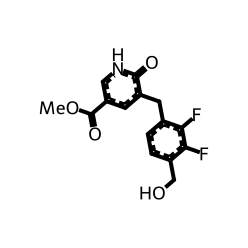 COC(=O)c1c[nH]c(=O)c(Cc2ccc(CO)c(F)c2F)c1